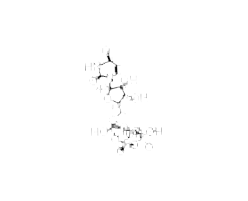 O=c1ccn([C@]2(I)O[C@H](COP(=O)(O)OP(=O)(O)OP(=O)(O)O)[C@@H](O)[C@H]2O)c(=O)[nH]1